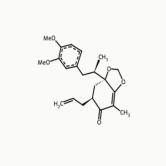 C=CC[C@H]1C[C@]2([C@H](C)Cc3ccc(OC)c(OC)c3)OCOC2=C(C)C1=O